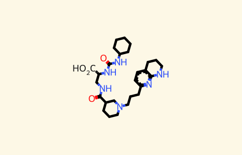 O=C(NC1CCCCC1)NC(CNC(=O)C1CCCN(CCCc2ccc3c(n2)NCCC3)C1)C(=O)O